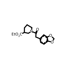 CCOC(=O)C1CCCN(C(=O)Cc2ccc3c(c2)OCO3)C1